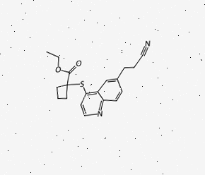 CCOC(=O)C1(Sc2ccnc3ccc(CCC#N)cc23)CCC1